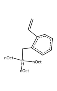 C=Cc1ccccc1C[PH](CCCCCCCC)(CCCCCCCC)CCCCCCCC